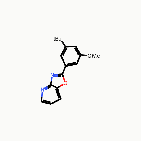 COc1cc(-c2nc3ncccc3o2)cc(C(C)(C)C)c1